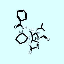 CC(C)C[C@H](NC=O)C(O)(C1N=NC(=O)O1)[C@@H]1CCCC[C@@H]1NC(=O)c1ccccc1